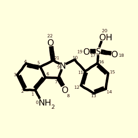 Nc1cccc2c1C(=O)N(Cc1ccccc1S(=O)(=O)O)C2=O